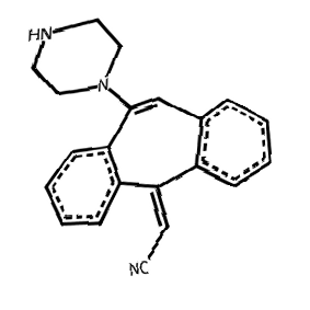 N#C/C=C1/c2ccccc2C=C(N2CCNCC2)c2ccccc21